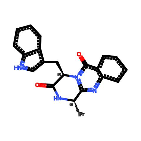 CC(C)[C@@H]1NC(=O)[C@@H](Cc2c[nH]c3ccccc23)n2c1nc1ccccc1c2=O